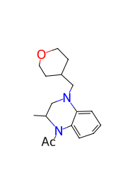 CC(=O)N1c2ccccc2N(CC2CCOCC2)CC1C